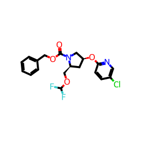 O=C(OCc1ccccc1)N1C[C@@H](Oc2ccc(Cl)cn2)C[C@H]1COC(F)F